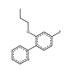 CCCOc1cc(F)ccc1-c1ccccn1